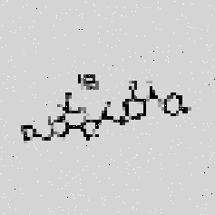 Cl.Cl.Cn1c(-c2cn(CC3CCC3)nc2C(F)(F)F)cnc1C(=O)Nc1ccc(C(=O)N2CCNCC2)c(Cl)c1